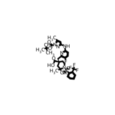 Cc1cc(Nc2ccc(F)c(C[C@@]3(C(=O)O)CCN(S(=O)(=O)c4ccccc4C(F)(F)F)C(C)(C)C3)n2)nn1C(=O)OC(C)(C)C